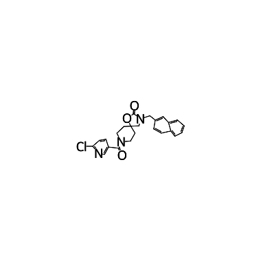 O=C1OC2(CCN(C(=O)c3ccc(Cl)nc3)CC2)CN1Cc1ccc2ccccc2c1